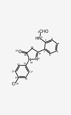 O=CNc1ccccc1C1=NN(c2ccc(Cl)cc2)C(=O)C1